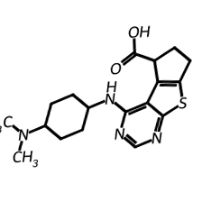 CN(C)C1CCC(Nc2ncnc3sc4c(c23)C(C(=O)O)CC4)CC1